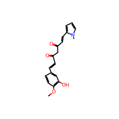 COc1ccc(/C=C/C(=O)CC(=O)/C=C/c2cccn2C)cc1O